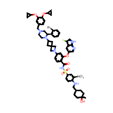 CC(C)c1ccccc1C1CN(Cc2ccc(OC3CC3)c(OC3CC3)c2)CCN1C1CC2(C1)CN(c1ccc(C(=O)NS(=O)(=O)c3ccc(NCC4CCC(C)(O)CC4)c([N+](=O)[O-])c3)c(Oc3cnc4[nH]cc(F)c4c3)c1)C2